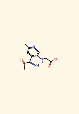 CC(=O)C(=N)c1cc(C)ncc1NCC(=O)O